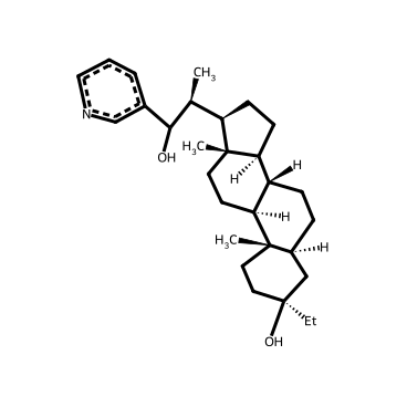 CC[C@]1(O)CC[C@@]2(C)[C@@H](CC[C@@H]3[C@@H]2CC[C@]2(C)[C@@H]([C@H](C)C(O)c4cccnc4)CC[C@@H]32)C1